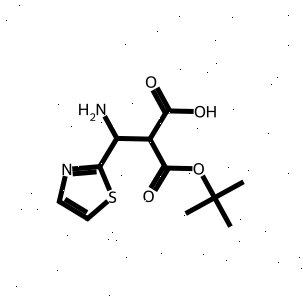 CC(C)(C)OC(=O)C(C(=O)O)C(N)c1nccs1